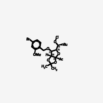 CCCC[C@H](OCl)[C@H]1O[C@]2(C(C)=O)OC(C)(C)O[C@@H]2[C@H]1OCc1ccc(Br)cc1OC